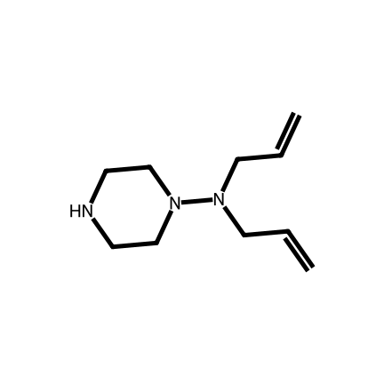 C=CCN(CC=C)N1CCNCC1